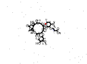 COC(=O)/C=C/O[C@H]1[C@H](O[C@@H]2[C@@H](C)[C@H](O[C@H]3C[C@@](C)(OC)[C@@H](O)[C@H](C)O3)[C@@H](C)C(=O)O[C@@H]3C(C)[C@@]34OC(=O)N[C@@H]4[C@@H](C)C(=O)[C@H](C)C[C@]2(C)OC)O[C@H](C)C[C@@H]1N(C)C